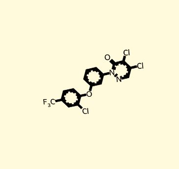 O=c1c(Cl)c(Cl)cnn1-c1cccc(Oc2ccc(C(F)(F)F)cc2Cl)c1